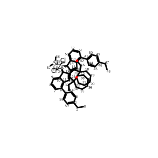 CCc1ccc(-c2cccc3c2C=C(CC2(CC)CCCCCC2)[CH]3[Zr]([Cl])([Cl])([CH]2C(CC3(CC)CCCCCC3)=Cc3c(-c4ccc(CC)cc4)cccc32)[SiH](C)C)cc1